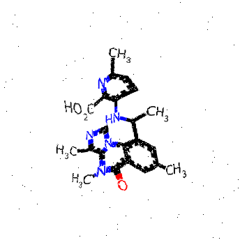 Cc1cc(C(C)Nc2ccc(C)nc2C(=O)O)c2c(c1)c(=O)n(C)c1c(C)ncn21